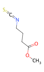 COC(=O)CCCN=C=S